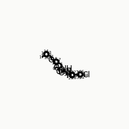 COC(=O)C(Cc1ccc(OCc2cccc(C)c2)cc1)NC(=O)c1cn2ccc(-c3ccc(Cl)cc3)cc2n1